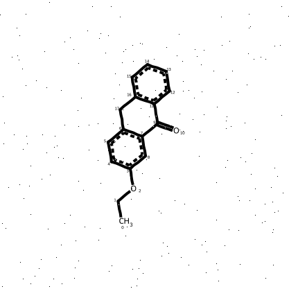 CCOc1ccc2c(c1)C(=O)c1ccccc1C2